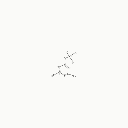 CC(C)(C)Cc1cc(F)cc(F)c1